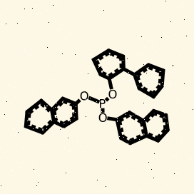 c1ccc(-c2ccccc2OP(Oc2ccc3ccccc3c2)Oc2ccc3ccccc3c2)cc1